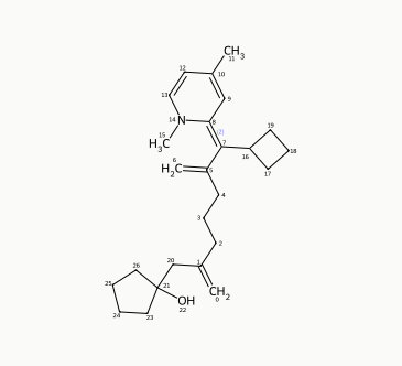 C=C(CCCC(=C)/C(=C1/C=C(C)C=CN1C)C1CCC1)CC1(O)CCCC1